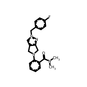 CN(C)C(=O)c1ccccc1N1Cc2cn(Cc3ccc(F)cc3)nc2C1